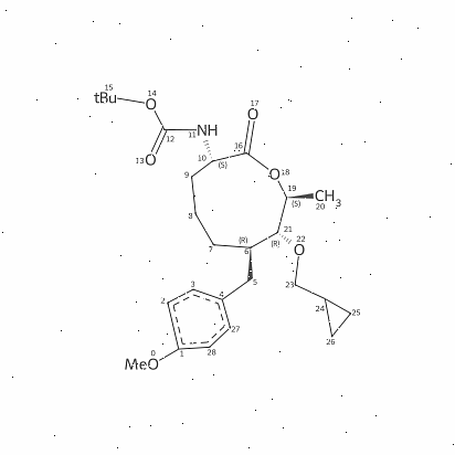 COc1ccc(C[C@H]2CCC[C@H](NC(=O)OC(C)(C)C)C(=O)O[C@@H](C)[C@@H]2OCC2CC2)cc1